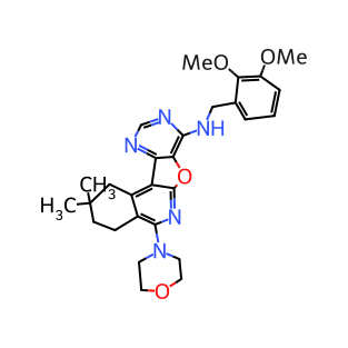 COc1cccc(CNc2ncnc3c2oc2nc(N4CCOCC4)c4c(c23)CC(C)(C)CC4)c1OC